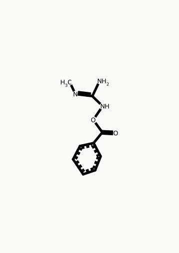 CN=C(N)NOC(=O)c1ccccc1